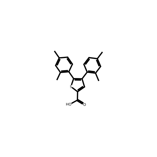 Cc1ccc(-c2cc(C(=O)O)sc2-c2ccc(C)cc2C)c(C)c1